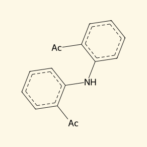 CC(=O)c1ccccc1Nc1ccccc1C(C)=O